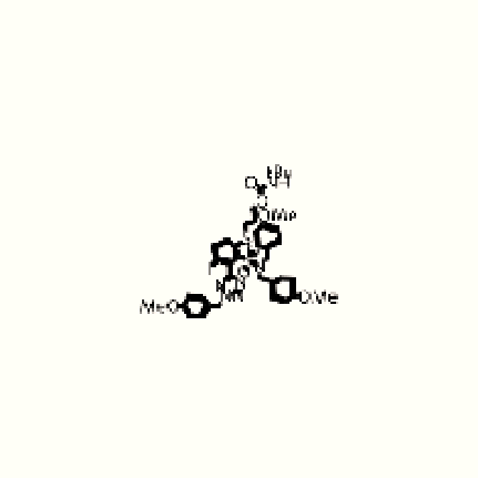 COc1ccc(CN(Cc2ccc(OC)cc2)S(=O)(=O)c2c(SCCCOC(=O)NC(C)(C)C)ccc(I)c2-c2nnn(Cc3ccc(OC)cc3)n2)cc1